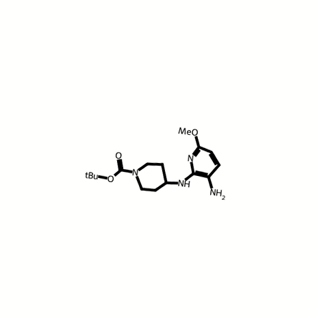 COc1ccc(N)c(NC2CCN(C(=O)OC(C)(C)C)CC2)n1